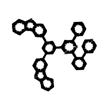 c1ccc(-c2cc(-c3cc(-c4ccc5sc6ccccc6c5c4)cc(-c4ccc5sc6ccccc6c5c4)c3)nc(-c3ccccc3-c3ccncc3)n2)cc1